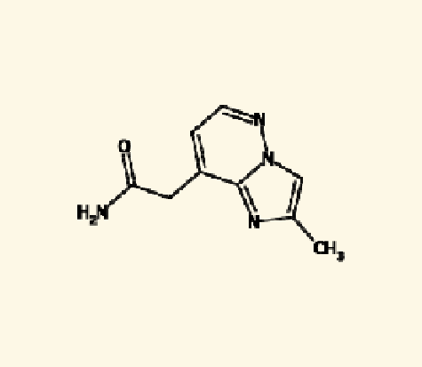 Cc1cn2nccc(CC(N)=O)c2n1